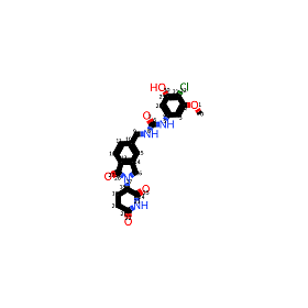 COc1cc(NC(=O)NCc2ccc3c(c2)CN(C2CCC(=O)NC2=O)C3=O)cc(O)c1Cl